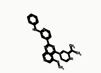 COc1cncc2nc(-c3ccnc(Nc4ccccc4)c3)nc(N3CCNC(C(C)C)C3)c12